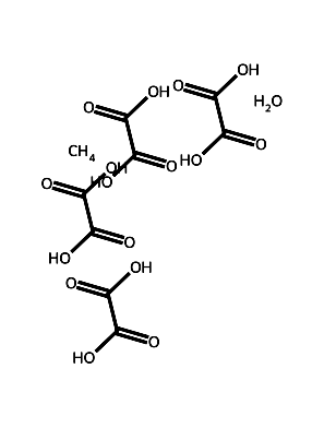 C.O.O=C(O)C(=O)O.O=C(O)C(=O)O.O=C(O)C(=O)O.O=C(O)C(=O)O